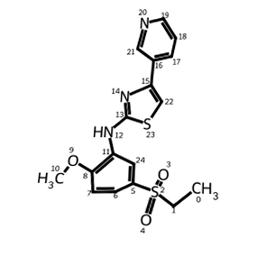 CCS(=O)(=O)c1ccc(OC)c(Nc2nc(-c3cccnc3)cs2)c1